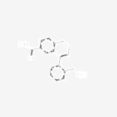 O=C(O)c1ccc2c(c1)C(c1ccccc1CO)=CCC2